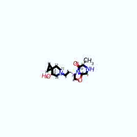 C[C@@H]1NCC2OC[C@H](CCN3CCC4(CC4)[C@H](O)C3)N2C1=O